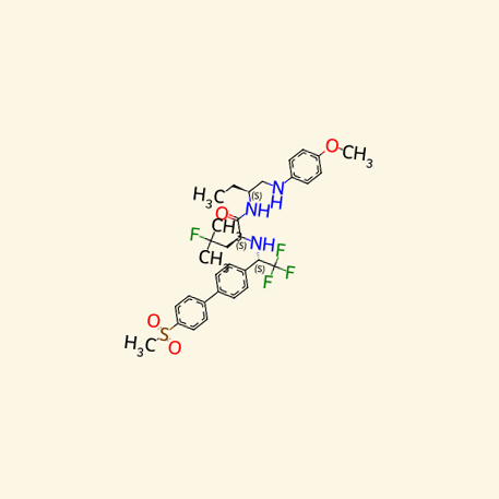 CC[C@@H](CNc1ccc(OC)cc1)NC(=O)[C@H](CC(C)(C)F)N[C@@H](c1ccc(-c2ccc(S(C)(=O)=O)cc2)cc1)C(F)(F)F